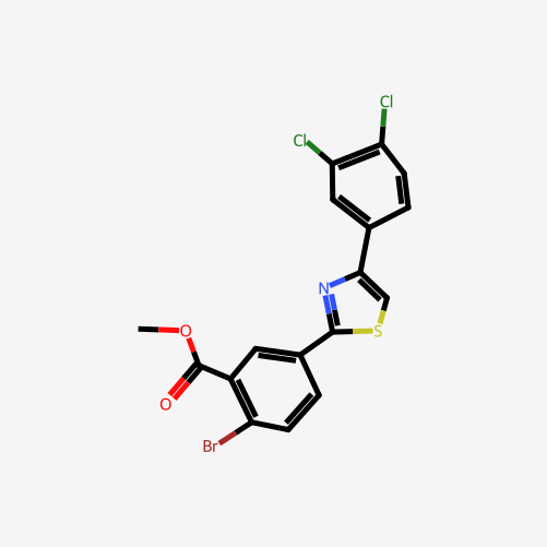 COC(=O)c1cc(-c2nc(-c3ccc(Cl)c(Cl)c3)cs2)ccc1Br